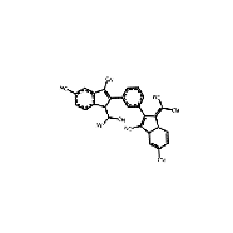 N#CC1=CC2C(C#N)=C(c3cccc(C4=C(C#N)c5cc(C#N)ccc5C4C(C#N)C#N)c3)C(=C(C#N)C#N)C2C=C1